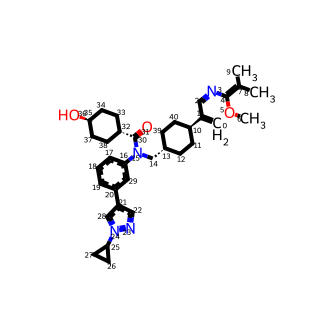 C=C(/C=N\C(OC)=C(C)C)[C@H]1CC[C@H](CN(c2cccc(-c3cnn(C4CC4)c3)c2)C(=O)[C@H]2CC[C@H](O)CC2)CC1